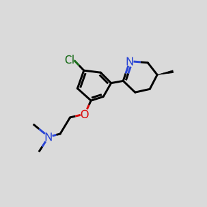 C[C@H]1CCC(c2cc(Cl)cc(OCCN(C)C)c2)=NC1